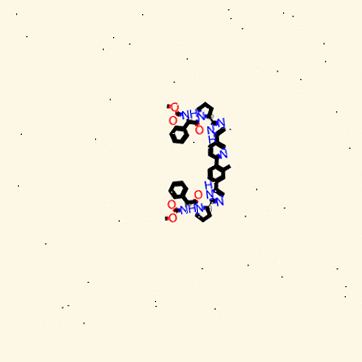 COC(=O)N[C@@H](C(=O)N1CCC[C@H]1c1ncc(-c2ccc(-c3ccc(-c4cnc([C@@H]5CCCN5C(=O)[C@H](NC(=O)OC)c5ccccc5)[nH]4)cc3C)nc2)[nH]1)c1ccccc1